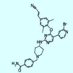 Cc1cc(/C=C/C#N)cc(C)c1Oc1nc(NC2CCN(Cc3ccc(C(N)=O)cc3)CC2)ncc1-c1ccnc(Br)c1